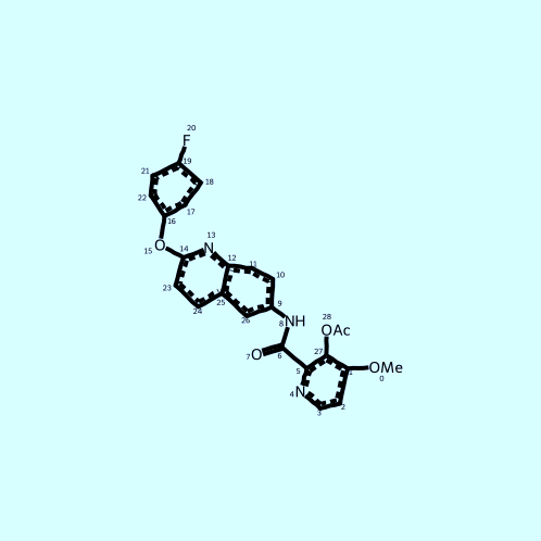 COc1ccnc(C(=O)Nc2ccc3nc(Oc4ccc(F)cc4)ccc3c2)c1OC(C)=O